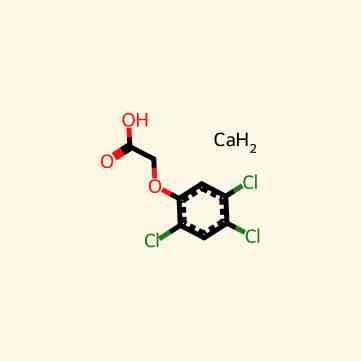 O=C(O)COc1cc(Cl)c(Cl)cc1Cl.[CaH2]